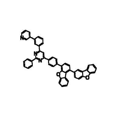 c1ccc(-c2nc(-c3ccc(-c4ccc(-c5ccc6oc7ccccc7c6c5)c5c4oc4ccccc45)cc3)cc(-c3cccc(-c4cccnc4)c3)n2)cc1